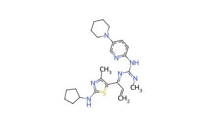 C=C/C(=N\C(=N/C)Nc1ccc(N2CCCCC2)cn1)c1sc(NC2CCCC2)nc1C